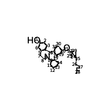 Oc1ccc2c(c1)CCN(c1ccccc1)C2c1ccc(OC2CN(CCCF)C2)cc1